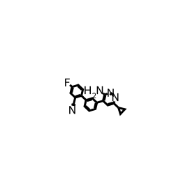 N#Cc1cc(F)ccc1-c1cccc(-c2cc(C3CC3)nnc2N)c1